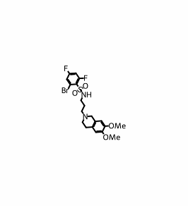 COc1cc2c(cc1OC)CN(CCCNS(=O)(=O)c1c(F)cc(F)cc1Br)CC2